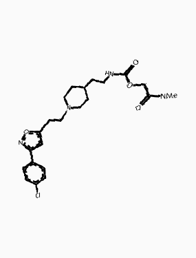 CNC(=O)COC(=O)NCCC1CCN(CCc2cc(-c3ccc(Cl)cc3)no2)CC1